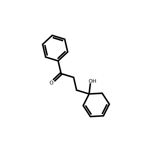 O=C(CCC1(O)C=CC=CC1)c1ccccc1